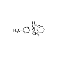 Cc1ccc([Si](C)(C)C2CCCCO2)cc1